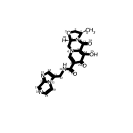 C[C@H]1CO[C@@H]2Cn3cc(C(=O)NCc4cnc5cnccn45)c(=O)c(O)c3C(=O)N12